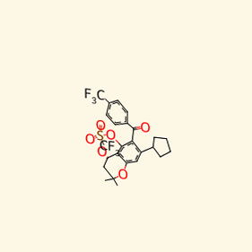 CC1(C)CC(=O)c2c(cc(C3CCCC3)c(C(=O)c3ccc(C(F)(F)F)cc3)c2OS(=O)(=O)C(F)(F)F)O1